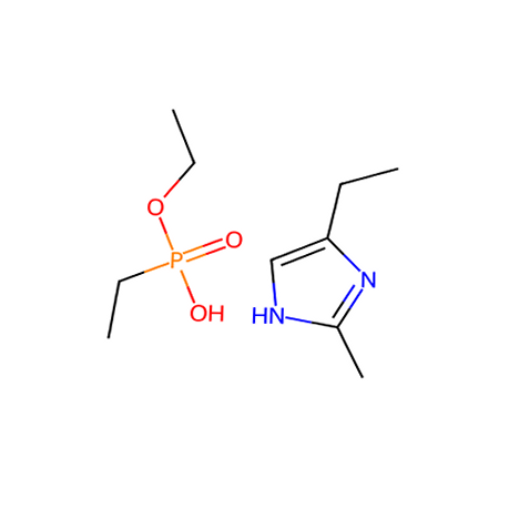 CCOP(=O)(O)CC.CCc1c[nH]c(C)n1